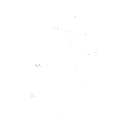 [2H]C([2H])([2H])OC(c1ccc(F)c(C#N)c1OC)C(F)(F)F